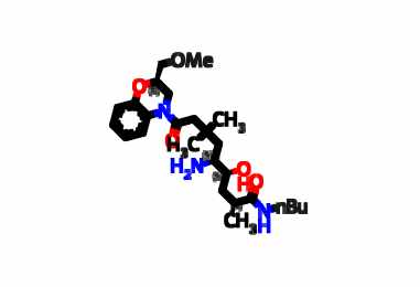 CCCCNC(=O)[C@H](C)C[C@H](O)[C@@H](N)CC(C)(C)CC(=O)N1C[C@H](COC)Oc2ccccc21